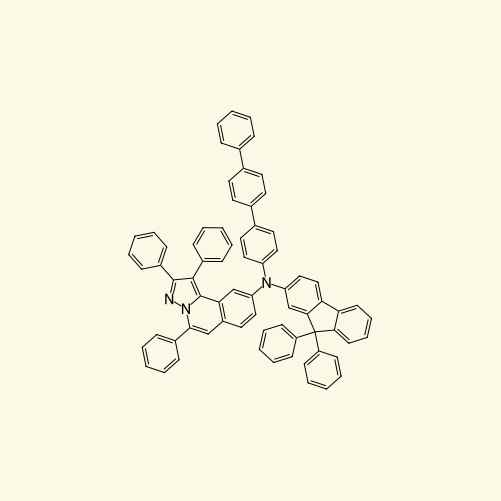 c1ccc(-c2ccc(-c3ccc(N(c4ccc5c(c4)C(c4ccccc4)(c4ccccc4)c4ccccc4-5)c4ccc5cc(-c6ccccc6)n6nc(-c7ccccc7)c(-c7ccccc7)c6c5c4)cc3)cc2)cc1